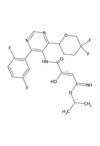 CC(C)OC(=N)/C=C(\O)C(=O)Nc1c(-c2cc(F)ccc2F)ncnc1C1CCC(F)(F)CO1